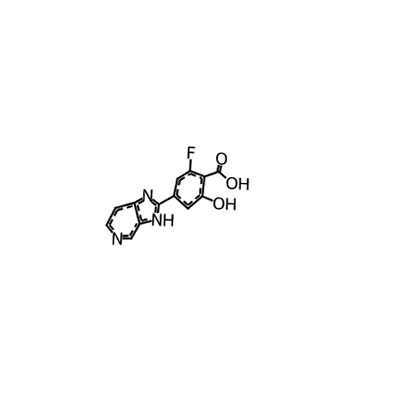 O=C(O)c1c(O)cc(-c2nc3ccncc3[nH]2)cc1F